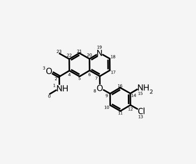 CNC(=O)c1cc2c(Oc3ccc(Cl)c(N)c3)ccnc2cc1C